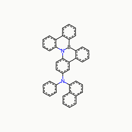 c1ccc(N(c2ccc3c(c2)-c2ccccc2B2c4ccccc4-c4ccccc4N23)c2cccc3ccccc23)cc1